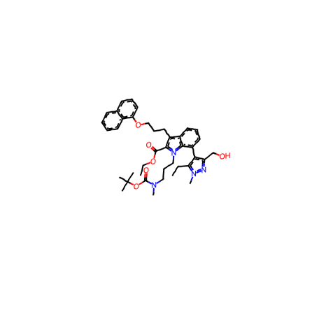 CCOC(=O)c1c(CCCOc2cccc3ccccc23)c2cccc(-c3c(CO)nn(C)c3CC)c2n1CCCN(C)C(=O)OC(C)(C)C